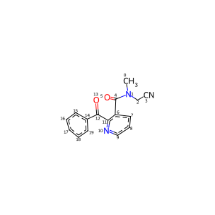 CN(CC#N)C(=O)c1cccnc1C(=O)c1ccccc1